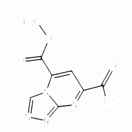 COC(=O)c1cc(C(=O)O)nc2nncn12